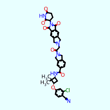 CC1(C)[C@@H](NC(=O)c2ccc3c(c2)CN(C(=O)CN2Cc4cc5c(cc4C2)C(=O)N(C2CCC(=O)NC2=O)C5=O)C3)C[C@@H]1Oc1ccc(C#N)c(Cl)c1